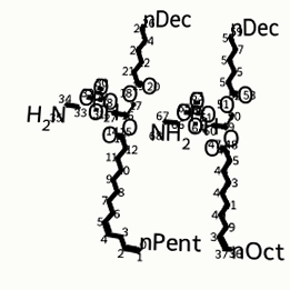 CCCCC/C=C\C/C=C\CCCCCCCC(=O)O[C@H](COC(=O)CCCCCCCCCCCCCCC)COP(=O)(O)OCCN.CCCCCCCC/C=C\CCCCCCCC(=O)O[C@H](COC(=O)CCCCCCCCCCCCCCC)COP(=O)(O)OCCN